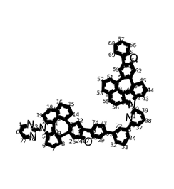 c1cnc(-n2c3cccc4c3c3c5c(cccc5ccc32)-c2cc3c(cc2-4)oc2cc(-c4cccc(-c5cccc(-n6c7cccc8c7c7c9c(cccc9ccc76)-c6cc7c(cc6-8)oc6ccccc67)n5)c4)ccc23)nc1